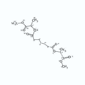 COS(=O)C(C)OC(=O)CCCCCC(=O)OC(C)S(=O)OC